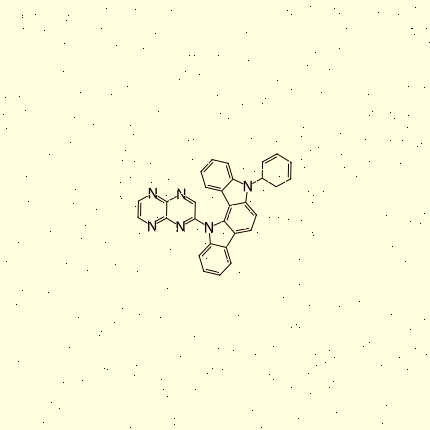 C1=CCC(n2c3ccccc3c3c4c(ccc32)c2ccccc2n4-c2cnc3nccnc3n2)C=C1